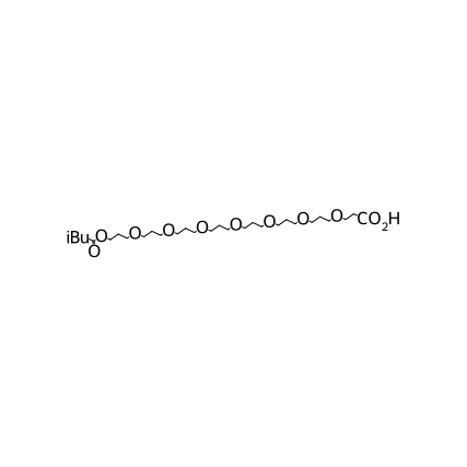 CCC(C)C(=O)OCCCOCCCOCCCOCCCOCCCOCCCOCCCOCCC(=O)O